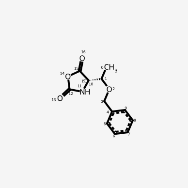 CC(OCc1ccccc1)[C@@H]1NC(=O)OC1=O